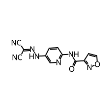 N#CC(C#N)=NNc1ccc(NC(=O)c2ccon2)nc1